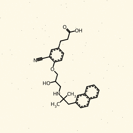 CC(C)(Cc1ccc2ccccc2c1)NCC(O)COc1ccc(CCC(=O)O)cc1C#N